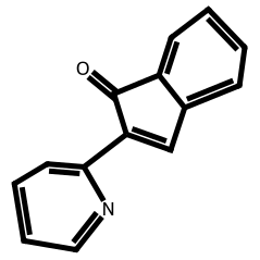 O=C1C(c2ccccn2)=Cc2ccccc21